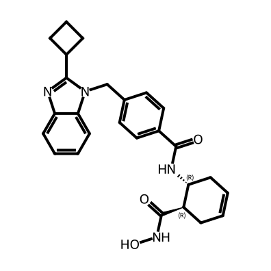 O=C(N[C@@H]1CC=CC[C@H]1C(=O)NO)c1ccc(Cn2c(C3CCC3)nc3ccccc32)cc1